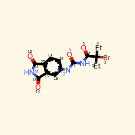 CCC(Br)(CC)C(=O)NC(N)=O.O=C1NC(=O)c2ccccc21